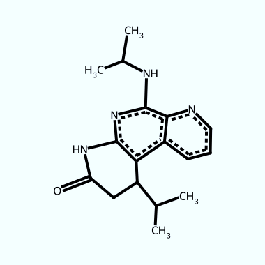 CC(C)Nc1nc2c(c3cccnc13)C(C(C)C)CC(=O)N2